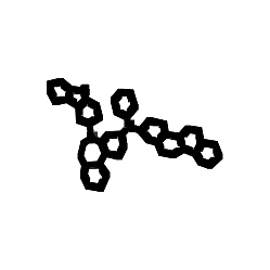 c1ccc(N(c2ccc3c(c2)N(c2ccc4sc5ccccc5c4c2)CCc2ccccc2-3)c2ccc3c(ccc4c5ccccc5ccc34)c2)cc1